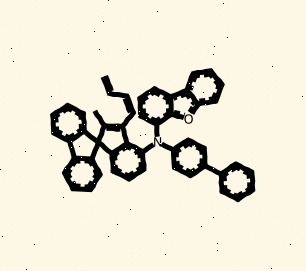 C=C/C=C\C1=C(C)C2(c3ccccc3-c3ccccc32)c2cccc(N(c3ccc(-c4ccccc4)cc3)c3cccc4c3oc3ccccc34)c21